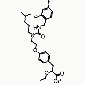 CCOC(Cc1ccc(OCCN(CCCC(C)C)C(=O)NCc2ccc(F)cc2F)cc1)C(=O)O